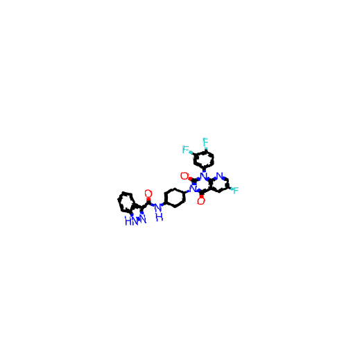 O=C(NC1CCC(n2c(=O)c3cc(F)cnc3n(-c3ccc(F)c(F)c3)c2=O)CC1)c1n[nH]c2ccccc12